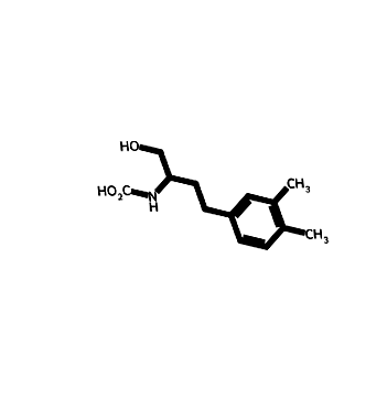 Cc1ccc(CCC(CO)NC(=O)O)cc1C